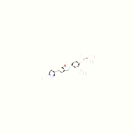 COc1cc(N2Cc3cc(-c4ccc(C)nc4)sc3C2=O)ccc1OCC(C)(C)O